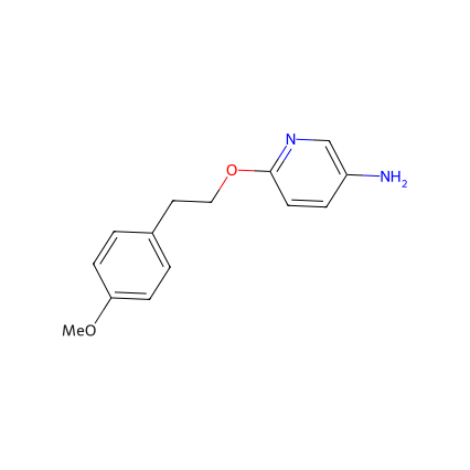 COc1ccc(CCOc2ccc(N)cn2)cc1